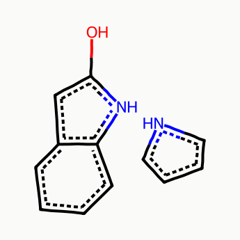 Oc1cc2ccccc2[nH]1.c1cc[nH]c1